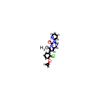 Cc1c(-c2cccc(OC3CC3)c2Cl)cc2cnn(-c3ccccn3)c(=O)n12